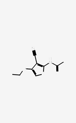 CCOc1csc(NC(C)=O)c1C#N